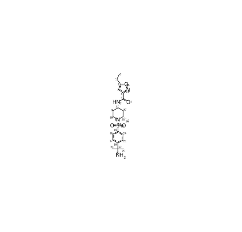 CCc1cc(C(=O)N[C@H]2CCN(S(=O)(=O)c3ccc(C(C)(C)N)cc3)[C@@H](C)C2)no1